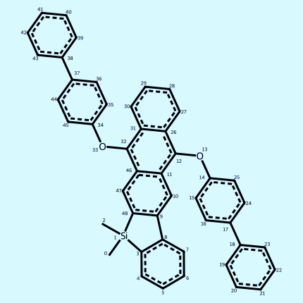 C[Si]1(C)c2ccccc2-c2cc3c(Oc4ccc(-c5ccccc5)cc4)c4ccccc4c(Oc4ccc(-c5ccccc5)cc4)c3cc21